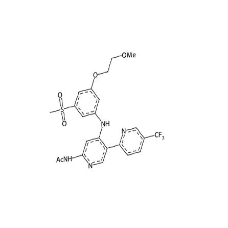 COCCOc1cc(Nc2cc(NC(C)=O)ncc2-c2ccc(C(F)(F)F)cn2)cc(S(C)(=O)=O)c1